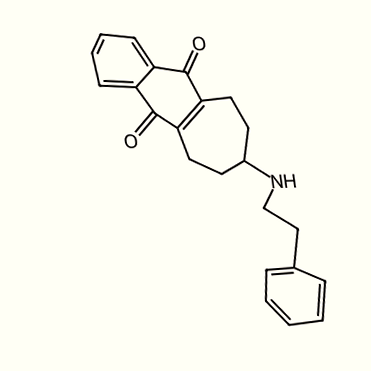 O=C1C2=C(CCC(NCCc3ccccc3)CC2)C(=O)c2ccccc21